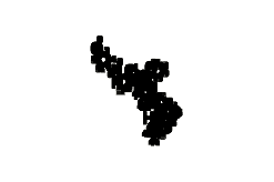 COc1ccc(CN(C)c2nccc(-c3nn(C4CCCCO4)c4nc(N5CCC6(CC5)CO[C@@H](C)[C@H]6NC(=O)OC(C)(C)C)c(Cl)nc34)c2Cl)cc1